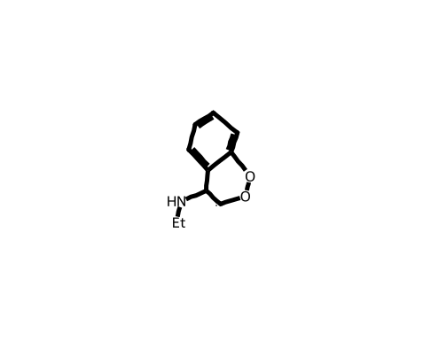 CCNC1[C]OOc2ccccc21